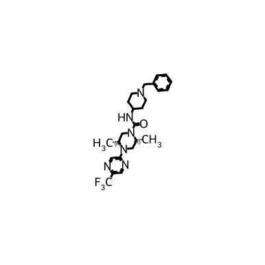 C[C@@H]1CN(c2cnc(C(F)(F)F)cn2)[C@H](C)CN1C(=O)NC1CCN(Cc2ccccc2)CC1